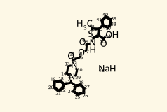 Cc1sc(NC(=O)COCC(=O)N2CCN(C(c3ccccc3)c3ccccc3)CC2)c(C(=O)O)c1-c1ccccc1.[NaH]